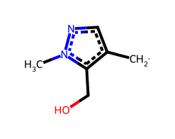 [CH2]c1cnn(C)c1CO